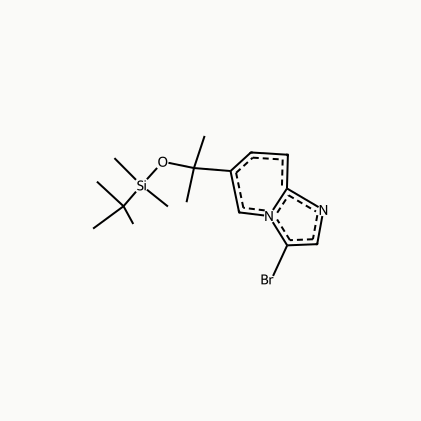 CC(C)(O[Si](C)(C)C(C)(C)C)c1ccc2ncc(Br)n2c1